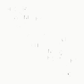 Cc1cc(C(=O)NS(C)(=O)=O)c(F)cc1-c1cnc(Oc2c(F)ccc(Cl)c2F)c(Cl)c1